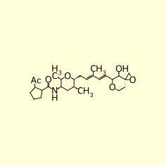 CC(=O)C1CCCC1C(=O)N[C@@H]1C[C@H](C)[C@H](C/C=C(C)/C=C/C2OCC[C@@]3(CO3)[C@@H]2O)O[C@@H]1C